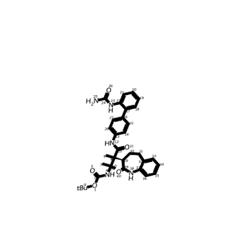 CC(C)(C)OC(=O)NC(C)(C)C(C)(C(=O)Nc1ccc(-c2ccccc2NC(N)=O)cc1)[C@H]1CCc2ccccc2NC1=O